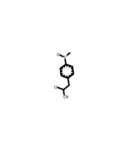 C[S+]([O-])c1ccc(CC(Cl)C#N)cc1